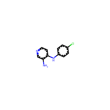 Nc1cnccc1Nc1ccc(Cl)cc1